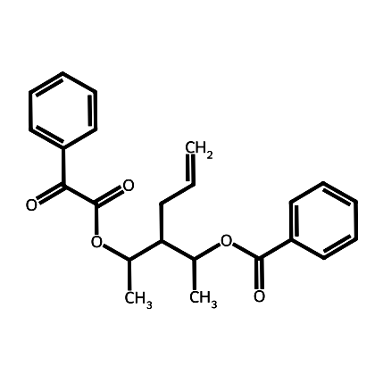 C=CCC(C(C)OC(=O)C(=O)c1ccccc1)C(C)OC(=O)c1ccccc1